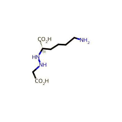 NCCCC[C@H](NNCC(=O)O)C(=O)O